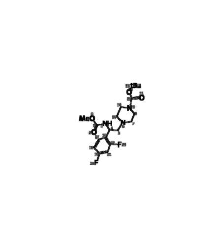 COC(=O)NC(CN1CCN(C(=O)OC(C)(C)C)CC1)c1ccc(F)cc1F